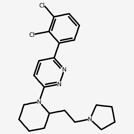 Clc1cccc(-c2ccc(N3CCCCC3CCN3CCCC3)nn2)c1Cl